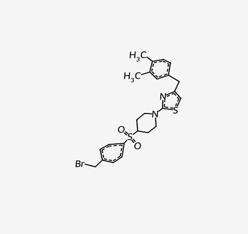 Cc1ccc(Cc2csc(N3CCC(S(=O)(=O)c4ccc(CBr)cc4)CC3)n2)cc1C